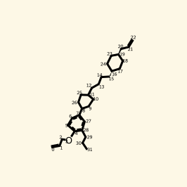 C=CCOc1ccc(C2CCC(CCCC[C@H]3CC[C@H](CC=C)CC3)CC2)cc1CCC